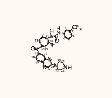 O=C(Nc1cccc(C(F)(F)F)c1)Nc1ccc(C(=O)c2ccc3ncc(N4CCNCC4)nc3c2)cc1F